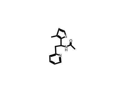 CC(=O)NC(Cc1ccccn1)c1sccc1C